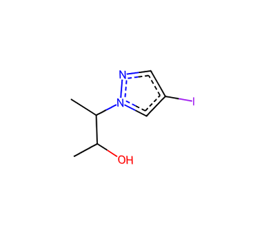 CC(O)C(C)n1cc(I)cn1